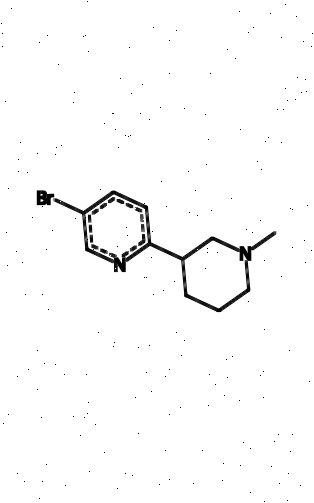 CN1CCCC(c2ccc(Br)cn2)C1